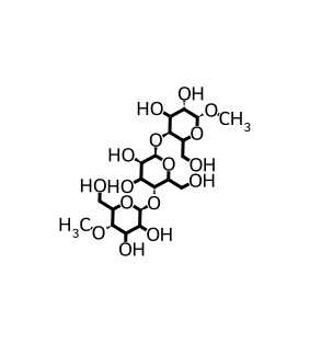 CO[C@@H]1C(CO)O[C@@H](O[C@H]2C(CO)O[C@H](O[C@@H]3C(CO)O[C@@H](OC)[C@@H](O)C3O)[C@H](O)C2O)C(O)C1O